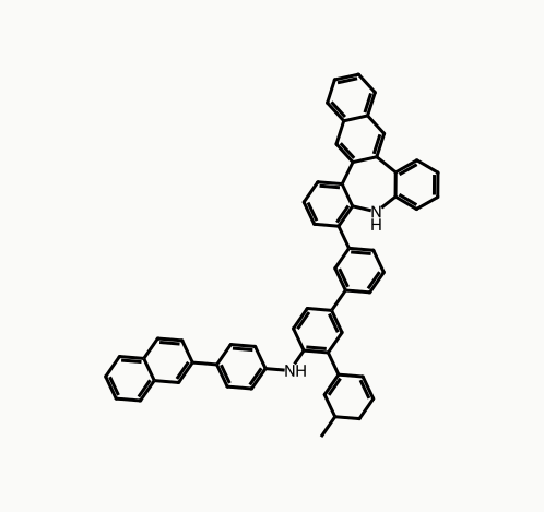 CC1C=C(c2cc(-c3cccc(-c4cccc5c4Nc4ccccc4-c4cc6ccccc6cc4-5)c3)ccc2Nc2ccc(-c3ccc4ccccc4c3)cc2)C=CC1